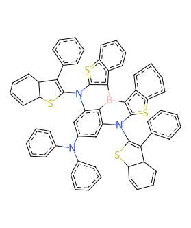 C1=CC2SC(N3c4cc(N(c5ccccc5)c5ccccc5)cc5c4B(c4c3sc3ccccc43)c3c(sc4ccccc34)N5C3=C(c4ccccc4)C4C=CC=CC4S3)=C(c3ccccc3)C2C=C1